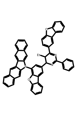 CCC1C(c2ccc3oc4ccccc4c3c2)=NC(c2ccccc2)=NC1c1cc(-n2c3cc4ccccc4cc3c3cc4ccccc4cc32)c2oc3ccccc3c2c1